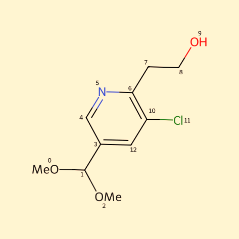 COC(OC)c1cnc(CCO)c(Cl)c1